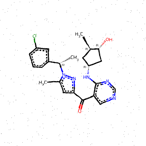 Cc1cc(C(=O)c2cncnc2N[C@@H]2C[C@@H](C)[C@H](O)C2)nn1[C@@H](C)c1cccc(Cl)c1